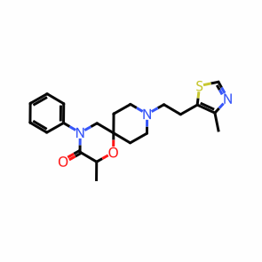 Cc1ncsc1CCN1CCC2(CC1)CN(c1ccccc1)C(=O)C(C)O2